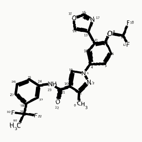 Cc1nn(-c2ccc(OC(F)F)c(-c3cocn3)c2)cc1C(=O)Nc1cccc(C(C)(F)F)c1